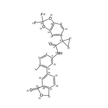 Cc1ccc(NC(=O)C2(c3ccc4c(c3)OC(F)(F)O4)CC2)cc1-c1ccc2c(c1)C(=O)OC2